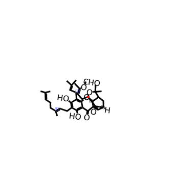 CC(C)=CCC/C(C)=C/Cc1c(O)c(CC=C(C)C)c2c(c1O)C(=O)C1=C[C@@H]3CC4C(C)(C)OC(C/C=C(/C)OC=O)(C3=O)[C@@]14O2